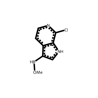 COBc1c[nH]c2c(Cl)nccc12